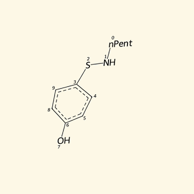 CCCCCNSc1ccc(O)cc1